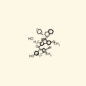 COc1ccc(-c2cc(C(=O)N(c3ccc(O)cc3)c3cc(C#N)n(C)c3C)c(C)n2C)c(C(=O)N2Cc3ccccc3C[C@H]2CN2CCOCC2)c1.Cl